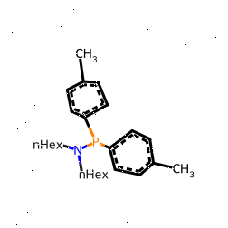 CCCCCCN(CCCCCC)P(c1ccc(C)cc1)c1ccc(C)cc1